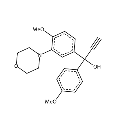 C#CC(O)(c1ccc(OC)cc1)c1ccc(OC)c(N2CCOCC2)c1